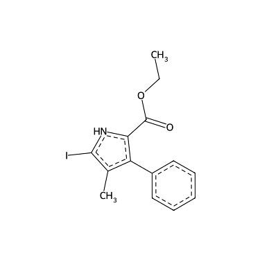 CCOC(=O)c1[nH]c(I)c(C)c1-c1ccccc1